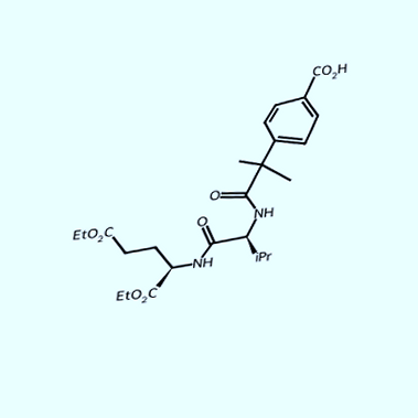 CCOC(=O)CC[C@@H](NC(=O)[C@@H](NC(=O)C(C)(C)c1ccc(C(=O)O)cc1)C(C)C)C(=O)OCC